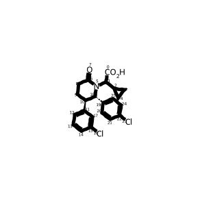 O=C(O)C(C1CC1)N1C(=O)CC[C@H](c2cccc(Cl)c2)[C@H]1c1ccc(Cl)cc1